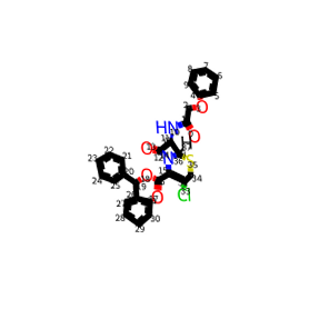 O=C(COc1ccccc1)N[C@@H]1C(=O)N2C(C(=O)OC(c3ccccc3)c3ccccc3)=C(Cl)CS[C@H]12